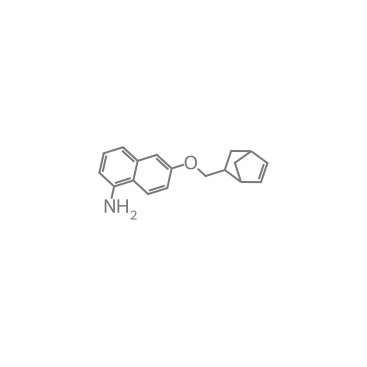 Nc1cccc2cc(OCC3CC4C=CC3C4)ccc12